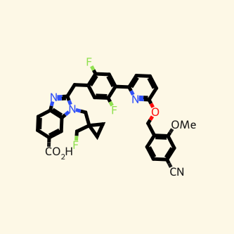 COc1cc(C#N)ccc1COc1cccc(-c2cc(F)c(Cc3nc4ccc(C(=O)O)cc4n3CC3(CF)CC3)cc2F)n1